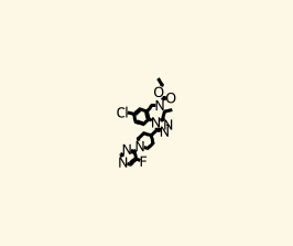 CCOC(=O)N1Cc2cc(Cl)ccc2-n2c(C3CCN(c4ncncc4F)CC3)nnc2C1C